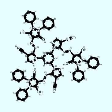 [C-]#[N+]c1cnn(-c2nc(-n3ncc(C#N)c3N=Nc3c(O)n(-c4ccccc4)n(-c4ccccc4)c3=O)nc(-n3ncc(C#N)c3N=Nc3c(O)n(-c4ccccc4)n(-c4ccccc4)c3=O)n2)c1N=Nc1c(O)n(-c2ccccc2)n(-c2ccccc2)c1=O